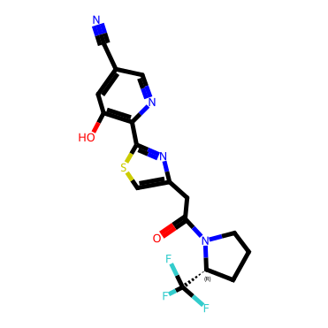 N#Cc1cnc(-c2nc(CC(=O)N3CCC[C@@H]3C(F)(F)F)cs2)c(O)c1